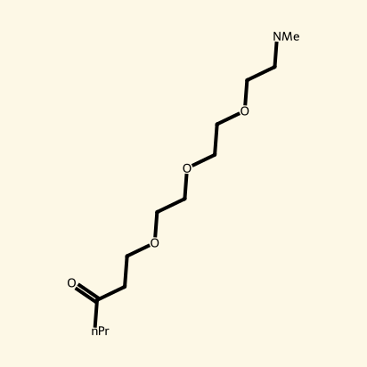 CCCC(=O)CCOCCOCCOCCNC